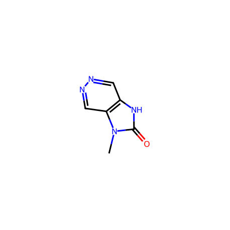 Cn1c(=O)[nH]c2cnncc21